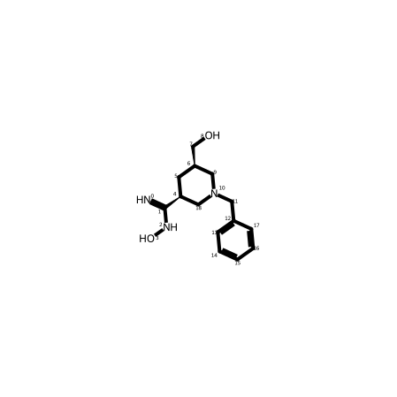 N=C(NO)[C@H]1C[C@@H](CO)CN(Cc2ccccc2)C1